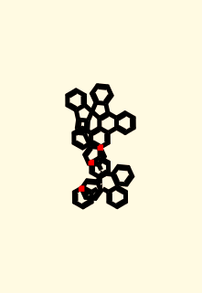 c1ccc(N(c2ccccc2)c2ccc(-c3ccc4c(c3)C3(c5ccccc5-4)c4ccccc4-c4c3c3c5ccccc5c(-c5ccc(N(c6ccccc6)c6ccccc6)cc5)cc3c3ccccc43)cc2)cc1